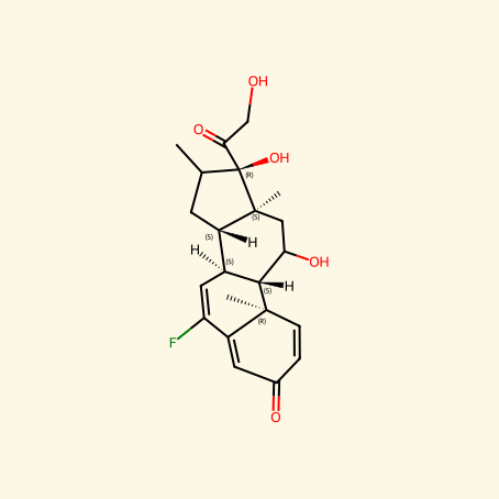 CC1C[C@H]2[C@@H]3C=C(F)C4=CC(=O)C=C[C@]4(C)[C@H]3C(O)C[C@]2(C)[C@@]1(O)C(=O)CO